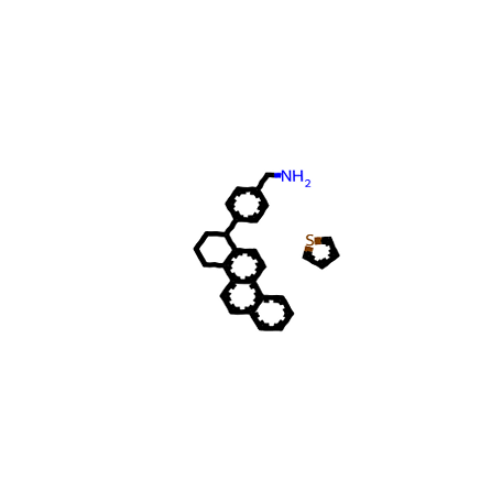 NCc1ccc(C2CCCc3c2ccc2c3ccc3ccccc32)cc1.c1ccsc1